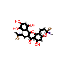 C/C(S)=C/Cc1c(-c2cc(O)c(O)cc2O)oc2c3c(cc(O)c2c1=O)OC(S)(I)C=C3